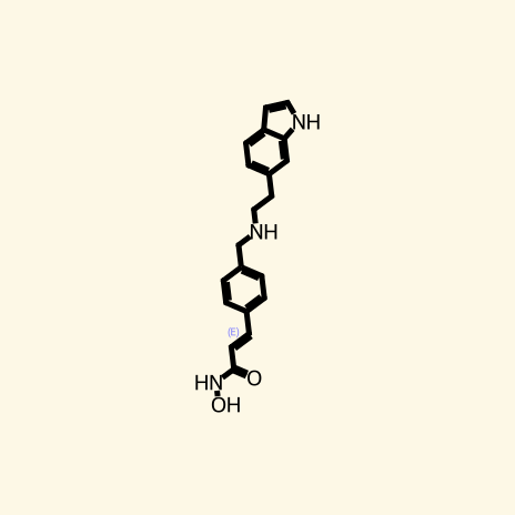 O=C(/C=C/c1ccc(CNCCc2ccc3cc[nH]c3c2)cc1)NO